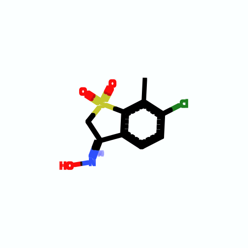 Cc1c(Cl)ccc2c1S(=O)(=O)C/C2=N\O